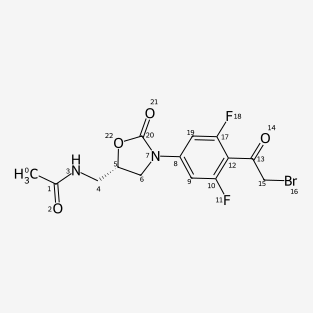 CC(=O)NC[C@H]1CN(c2cc(F)c(C(=O)CBr)c(F)c2)C(=O)O1